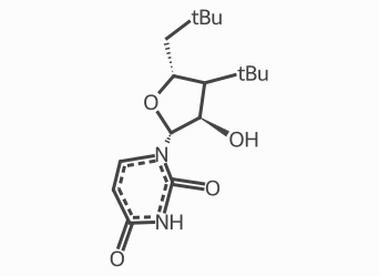 CC(C)(C)C[C@H]1O[C@@H](n2ccc(=O)[nH]c2=O)[C@H](O)C1C(C)(C)C